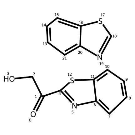 O=C(CO)c1nc2ccccc2s1.c1ccc2scnc2c1